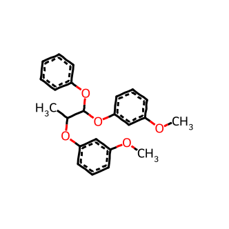 COc1cccc(OC(C)C(Oc2ccccc2)Oc2cccc(OC)c2)c1